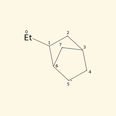 CCC1CC2C[CH]C1C2